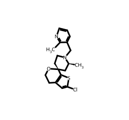 Cc1ncccc1CN1CC[C@]2(C[C@@H]1C)OCCc1cc(Cl)sc12